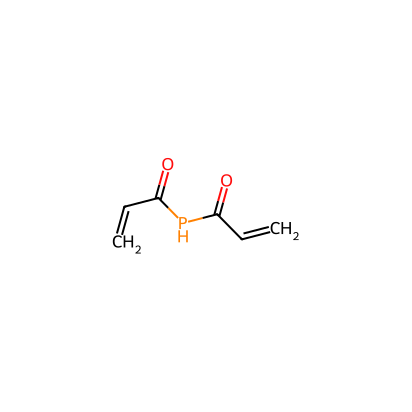 C=CC(=O)PC(=O)C=C